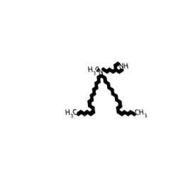 CCCCC/C=C\C/C=C\CCCCCC/C=C/C(CCCCCCCC/C=C\C/C=C\CCCCC)N(C)CCCCC1CCNCC1